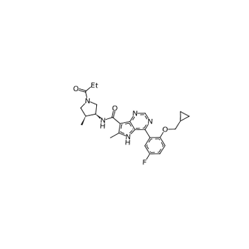 CCC(=O)N1C[C@H](C)[C@H](NC(=O)c2c(C)[nH]c3c(-c4cc(F)ccc4OCC4CC4)ncnc23)C1